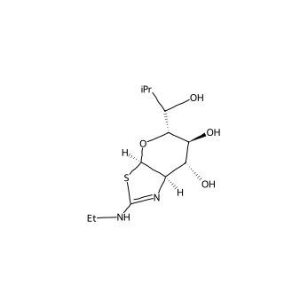 CCNC1=N[C@@H]2[C@@H](O)[C@H](O)[C@@H](C(O)C(C)C)O[C@@H]2S1